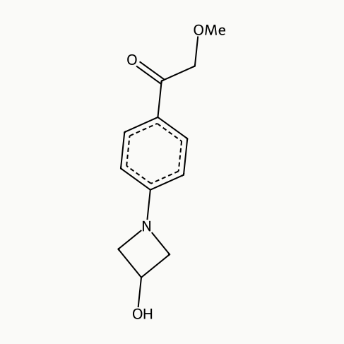 COCC(=O)c1ccc(N2CC(O)C2)cc1